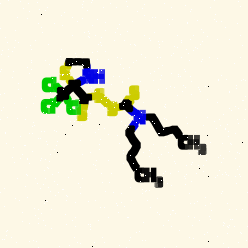 CCCCN(CCCC)C(=S)SSC(=S)C1(C(Cl)(Cl)Cl)NCCS1